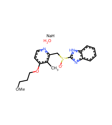 COCCCOc1ccnc(C[S+]([O-])c2nc3ccccc3[nH]2)c1C.O.[NaH]